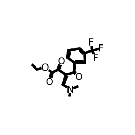 CCOC(=O)C(=O)C(=CN(C)C)C(=O)c1cccc(C(F)(F)F)c1